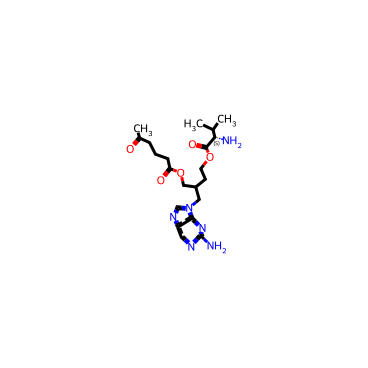 CC(=O)CCCC(=O)OCC(CCOC(=O)[C@@H](N)C(C)C)Cn1cnc2cnc(N)nc21